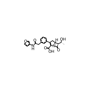 C[C@@H](O)[C@H]1C(=O)N2C(C(=O)O)=C(c3cccc(CC(=O)Nc4ccoc4)c3)C[C@H]12